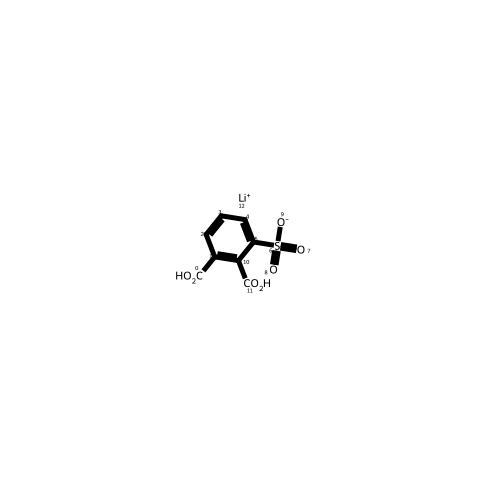 O=C(O)c1cccc(S(=O)(=O)[O-])c1C(=O)O.[Li+]